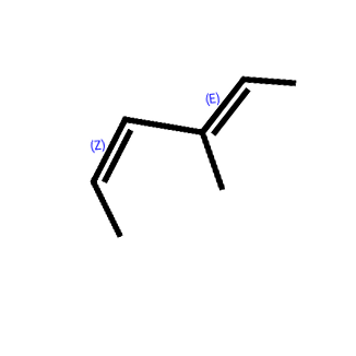 C/C=C\C(C)=C\C